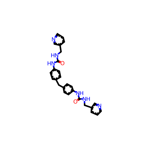 O=C(NCc1cccnc1)Nc1ccc(Cc2ccc(NC(=O)NCc3cccnc3)cc2)cc1